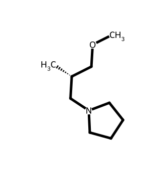 COC[C@@H](C)CN1CCCC1